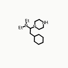 CCN(CC)C(CC1CCCCC1)N1CCNCC1